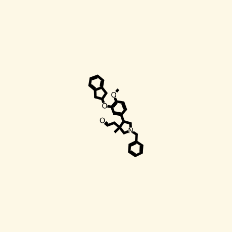 COc1ccc(C2CN(Cc3ccccc3)CC2(C)CC=O)cc1OC1Cc2ccccc2C1